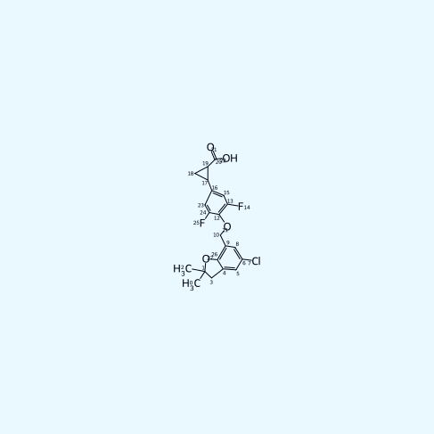 CC1(C)Cc2cc(Cl)cc(COc3c(F)cc(C4CC4C(=O)O)cc3F)c2O1